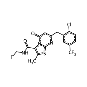 Cc1sc2nc(Cc3cc(C(F)(F)F)ccc3Cl)cc(=O)n2c1C(=O)NCF